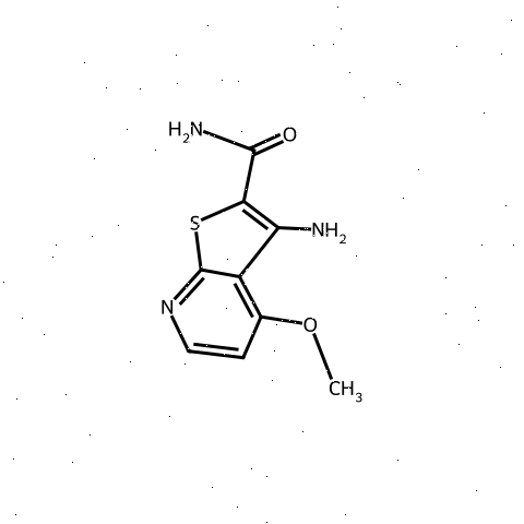 COc1ccnc2sc(C(N)=O)c(N)c12